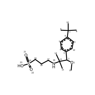 COC(c1ccc(C(C)(C)C)cc1)C(C)(C)NCCCS(=O)(=O)O